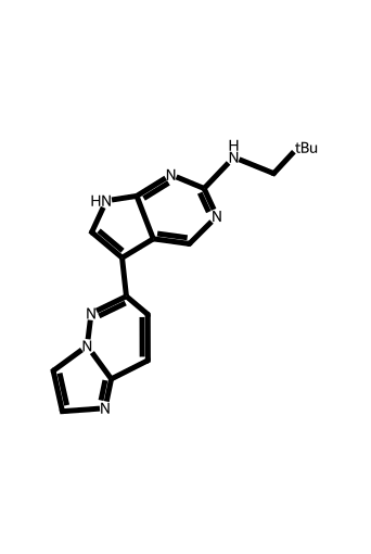 CC(C)(C)CNc1ncc2c(-c3ccc4nccn4n3)c[nH]c2n1